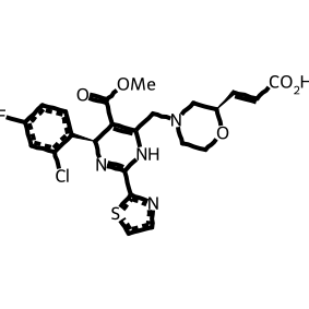 COC(=O)C1=C(CN2CCO[C@H](/C=C/C(=O)O)C2)NC(c2nccs2)=N[C@H]1c1ccc(F)cc1Cl